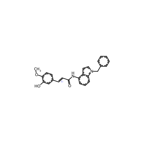 COc1ccc(/C=C/C(=O)Nc2cccc3c2ccn3Cc2ccccc2)cc1O